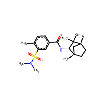 CNc1ccc(C(=O)N[C@@H]2C(C)(C)[C@@H]3CC[C@@]2(C)C3)cc1S(=O)(=O)N(C)C